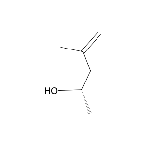 C=C(C)C[C@H](C)O